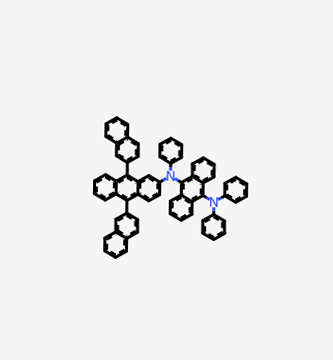 c1ccc(N(c2ccccc2)c2c3ccccc3c(N(c3ccccc3)c3ccc4c(-c5ccc6ccccc6c5)c5ccccc5c(-c5ccc6ccccc6c5)c4c3)c3ccccc23)cc1